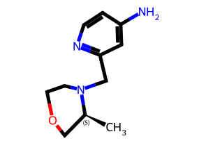 C[C@H]1COCCN1Cc1cc(N)ccn1